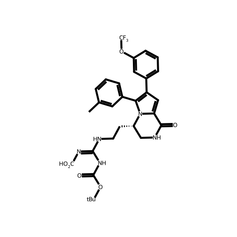 Cc1cccc(-c2c(-c3cccc(OC(F)(F)F)c3)cc3n2[C@@H](CCN/C(=N/C(=O)O)NC(=O)OC(C)(C)C)CNC3=O)c1